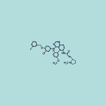 COc1cccc(-c2c(NC(=O)/C=C/C3CCCN3C)ccc3ncnc(Nc4ccc(OCc5cccc(F)c5)c(Cl)c4)c23)c1